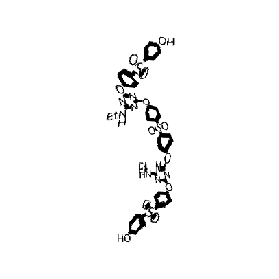 CCNc1nc(Oc2ccc(S(=O)(=O)c3ccc(O)cc3)cc2)nc(Oc2ccc(S(=O)(=O)c3ccc(Oc4nc(NCC)nc(Oc5ccc(S(=O)(=O)c6ccc(O)cc6)cc5)n4)cc3)cc2)n1